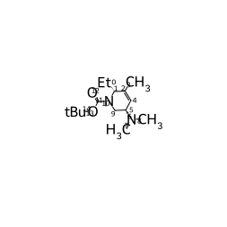 CC[C@@H]1C(C)=C[C@@H](N(C)C)CN1C(=O)OC(C)(C)C